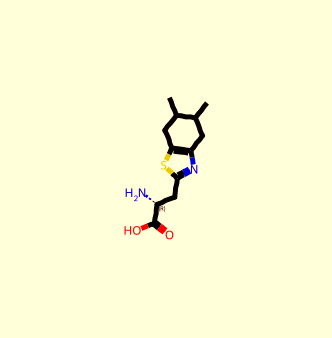 CC1Cc2nc(C[C@@H](N)C(=O)O)sc2CC1C